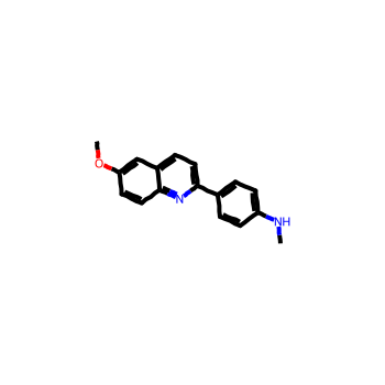 CNc1ccc(-c2ccc3cc(OC)ccc3n2)cc1